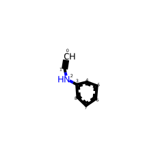 C#CNc1ccccc1